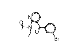 CCN(C(C)=O)c1ncccc1C(=O)c1cccc(Br)c1